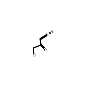 [N-]=[N+]=CC(=O)CCl